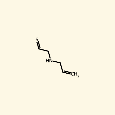 C=CCNCC=S